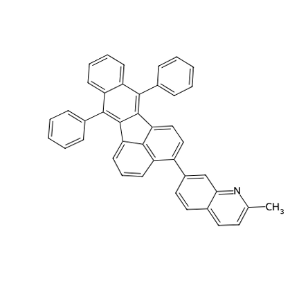 Cc1ccc2ccc(-c3ccc4c5c(cccc35)-c3c-4c(-c4ccccc4)c4ccccc4c3-c3ccccc3)cc2n1